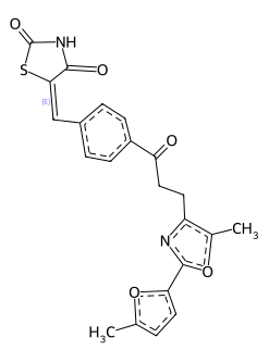 Cc1ccc(-c2nc(CCC(=O)c3ccc(/C=C4/SC(=O)NC4=O)cc3)c(C)o2)o1